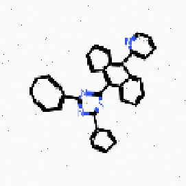 C1=C/CC\C=C/C(c2nc(-c3ccccc3)nc(-c3c4ccccc4c(-c4ccccn4)c4ccccc34)n2)=C\1